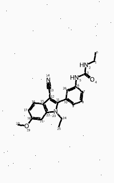 CCNC(=O)Nc1cccc(-c2c(C#N)c3ccc(OC)cc3n2CC)c1